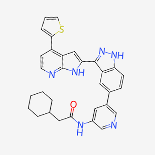 O=C(CC1CCCCC1)Nc1cncc(-c2ccc3[nH]nc(-c4cc5c(-c6cccs6)ccnc5[nH]4)c3c2)c1